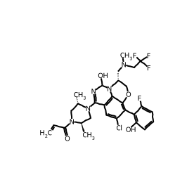 C=CC(=O)N1C[C@H](C)N(C2=NC(O)N3c4c2cc(Cl)c(-c2c(O)cccc2F)c4OC[C@H]3CN(C)CC(F)(F)F)C[C@H]1C